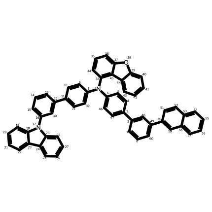 c1cc(-c2ccc(N(c3ccc(-c4cccc(-n5c6ccccc6c6ccccc65)c4)cc3)c3cccc4oc5ccccc5c34)cc2)cc(-c2ccc3ccccc3c2)c1